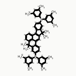 CC1=CC(C)CC(N(c2cc(C)cc(C)c2)c2ccc3c(c2)C(C)(C)c2cc4c5c(cccc5c2-3)C(C)(C)c2cc(N(c3cc(C)cc(C)c3)c3cc(C)cc(C)c3)ccc2-4)=C1